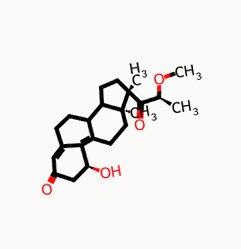 CO[C@@H](C)C(=O)[C@@]1(C)CCC2C3CCC4=CC(=O)C[C@H](O)C4=C3CC[C@@]21C